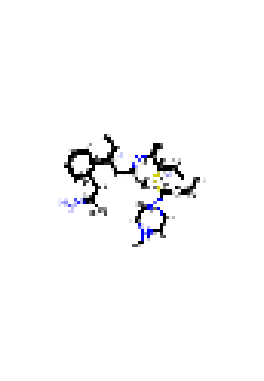 C=C(N[C@@H](CCCC)C/C(=C/C)c1ccccc1C[C@H](N)CC)/C(=C/C)SC(=C=CC)N1CCN(C)CC1